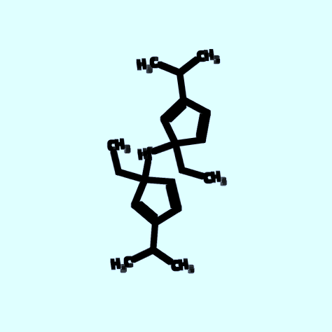 CC[C]1([Hf][C]2(CC)C=CC(C(C)C)=C2)C=CC(C(C)C)=C1